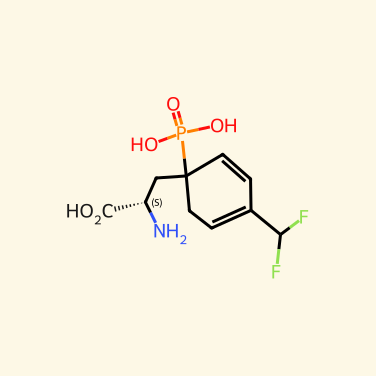 N[C@@H](CC1(P(=O)(O)O)C=CC(C(F)F)=CC1)C(=O)O